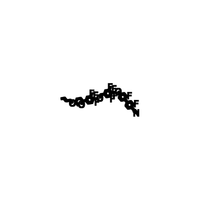 C/C=C/COC1CCC(c2ccc(C(F)(F)OCc3cc(F)c(C(F)(F)Oc4ccc(-c5ccc(C#N)c(F)c5)c(F)c4)c(F)c3)c(F)c2)OC1